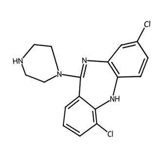 Clc1ccc2c(c1)N=C(N1CCNCC1)c1cccc(Cl)c1N2